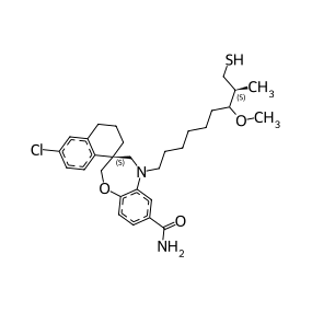 COC(CCCCCCN1C[C@@]2(CCCc3cc(Cl)ccc32)COc2ccc(C(N)=O)cc21)[C@H](C)CS